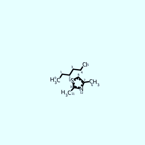 CCCCCCl.Cc1csc(C)n1